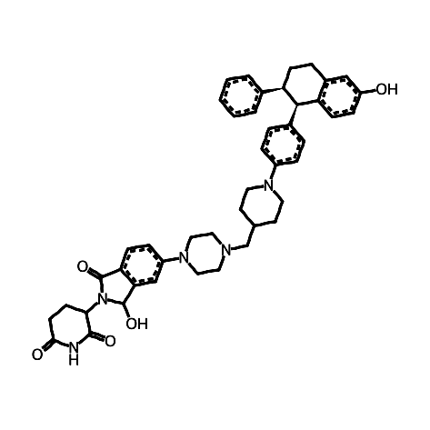 O=C1CCC(N2C(=O)c3ccc(N4CCN(CC5CCN(c6ccc([C@@H]7c8ccc(O)cc8CC[C@@H]7c7ccccc7)cc6)CC5)CC4)cc3C2O)C(=O)N1